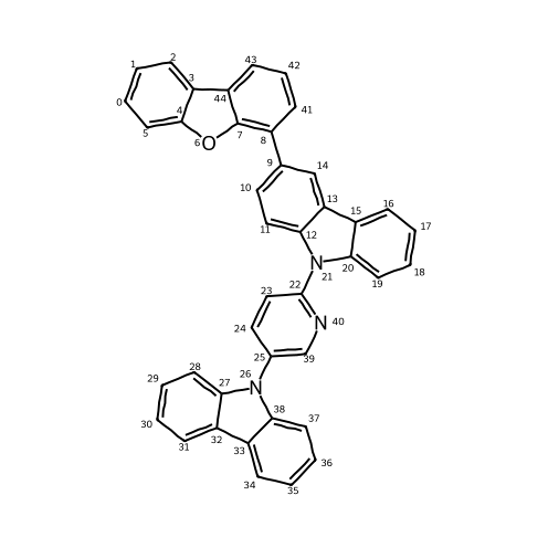 c1ccc2c(c1)oc1c(-c3ccc4c(c3)c3ccccc3n4-c3ccc(-n4c5ccccc5c5ccccc54)cn3)cccc12